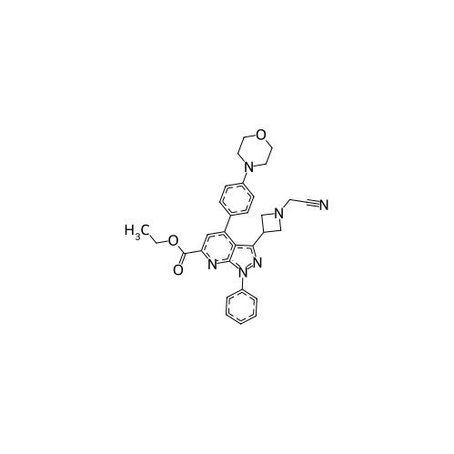 CCOC(=O)c1cc(-c2ccc(N3CCOCC3)cc2)c2c(C3CN(CC#N)C3)nn(-c3ccccc3)c2n1